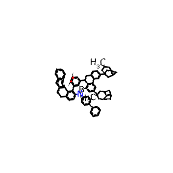 CC1CC2(c3ccc4c(c3)-c3cc(C5(C)CC6CC7=C6C(C7)C5)cc5c3C(C4)c3cc4ccccc4c4c3B5N(c3ccc(-c5ccccc5)cc3)c3ccc5c(c3-4)-c3cc4ccccc4cc3CC5)CC3CC3(C1)C2